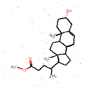 COC(=O)CCC(C)C1CCC2C3CC=C4C[C@@H](O)CCC4(C)C3CCC12C